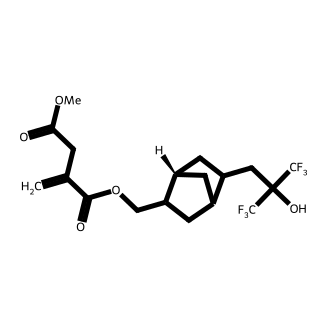 C=C(CC(=O)OC)C(=O)OCC1CC2C[C@H]1CC2CC(O)(C(F)(F)F)C(F)(F)F